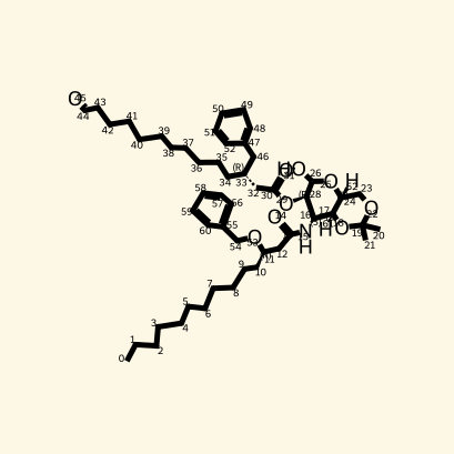 CCCCCCCCCCC[C@H](CC(=O)N[C@H]1[C@@H]2OC(C)(C)OC[C@H]2OC(O)[C@@H]1OC(=O)C[C@H](CCCCCCCCCCC=O)Cc1ccccc1)OCc1ccccc1